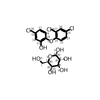 OC[C@H]1O[C@@H](O)[C@H](O)[C@@H](O)[C@H]1O.Oc1cc(Cl)ccc1Oc1ccc(Cl)cc1Cl